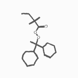 CCC(C)(C)C(=O)OOC(C)(C1CCCCC1)C1CCCCC1